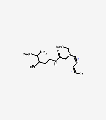 CC/C=C\N=C/N(COC)CC(=O)NCCC(CCC)C(N)OC